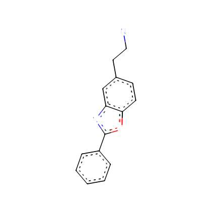 NCCc1ccc2oc(-c3ccccc3)nc2c1